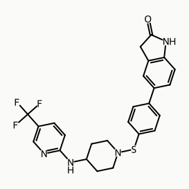 O=C1Cc2cc(-c3ccc(SN4CCC(Nc5ccc(C(F)(F)F)cn5)CC4)cc3)ccc2N1